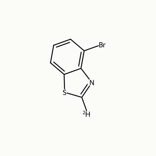 [2H]c1nc2c(Br)cccc2s1